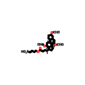 C[C@H](CCC(=O)OCCCCS(=O)(=O)O)C1CC[C@H]2[C@@H]3C(OC=O)CC4CC(OC=O)CCC4(C)[C@H]3CC(OC=O)[C@]12C